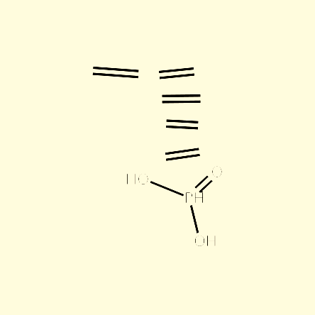 C=C.C=C.C=C.C=C.C=C.O=[PH](O)O